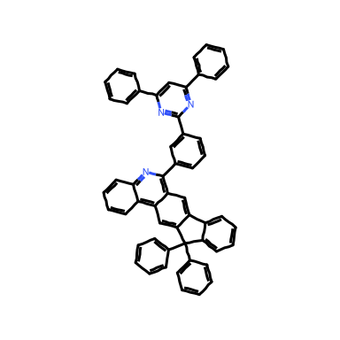 c1ccc(-c2cc(-c3ccccc3)nc(-c3cccc(-c4nc5ccccc5c5cc6c(cc45)-c4ccccc4C6(c4ccccc4)c4ccccc4)c3)n2)cc1